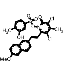 COc1ccc2cc(C=Cc3c(Cl)c(C)c(Cl)c(=O)n3OS(=O)(=O)c3ccc(C)c(O)c3)ccc2c1